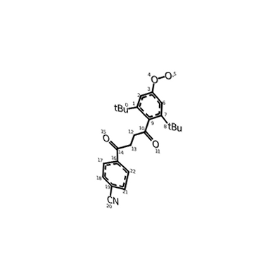 CC(C)(C)c1[c]c(O[O])cc(C(C)(C)C)c1C(=O)CCC(=O)c1ccc(C#N)cc1